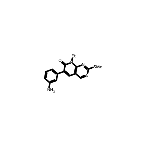 CCn1c(=O)c(-c2cccc(N)c2)cc2cnc(SC)nc21